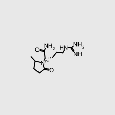 CC1CCC(=O)N1[C@@H](CCCNC(=N)N)C(N)=O